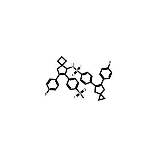 CS(=O)(=O)c1ccc(C2=C(c3ccc(F)cc3)CC3(CCC3)C2NS(=O)(=O)c2ccc(C3=C(c4ccc(F)cc4)CC4(CC4)C3)cc2)cc1